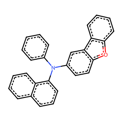 c1ccc(N(c2ccc3oc4ccccc4c3c2)c2cccc3ccccc23)cc1